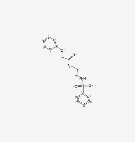 O=C(COc1ccccc1)OCCNS(=O)(=O)c1ccccc1